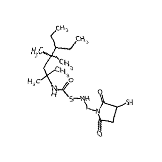 CCC(CC)C(C)(C)CC(C)(C)NC(=O)SNCN1C(=O)CC(S)C1=O